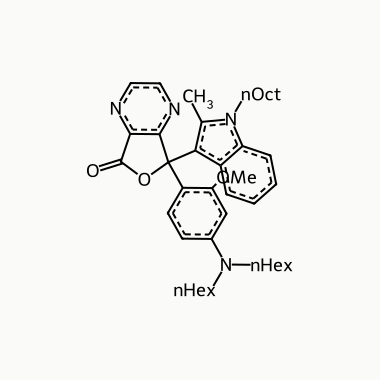 CCCCCCCCn1c(C)c(C2(c3ccc(N(CCCCCC)CCCCCC)cc3OC)OC(=O)c3nccnc32)c2ccccc21